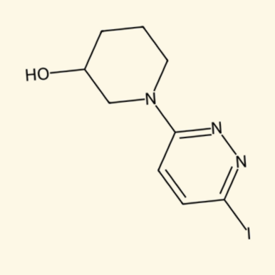 OC1CCCN(c2ccc(I)nn2)C1